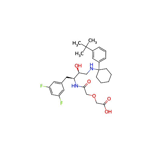 CC(C)(C)c1cccc(C2(NC[C@H](O)[C@H](Cc3cc(F)cc(F)c3)NC(=O)COCC(=O)O)CCCCC2)c1